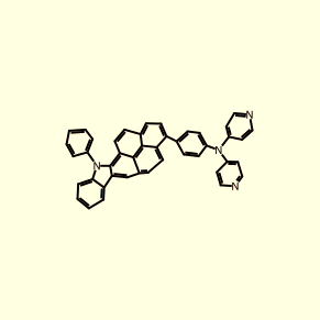 c1ccc(-n2c3ccccc3c3cc4ccc5c(-c6ccc(N(c7ccncc7)c7ccncc7)cc6)ccc6ccc(c4c65)c32)cc1